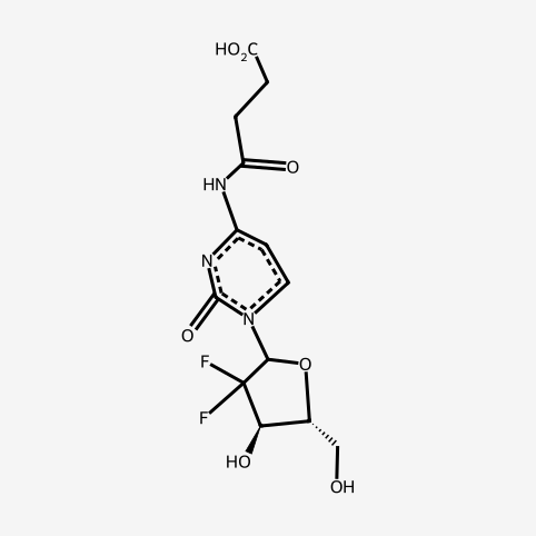 O=C(O)CCC(=O)Nc1ccn(C2O[C@H](CO)[C@@H](O)C2(F)F)c(=O)n1